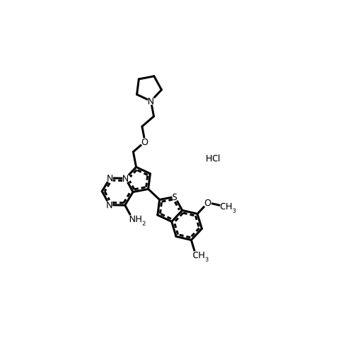 COc1cc(C)cc2cc(-c3cc(COCCN4CCCC4)n4ncnc(N)c34)sc12.Cl